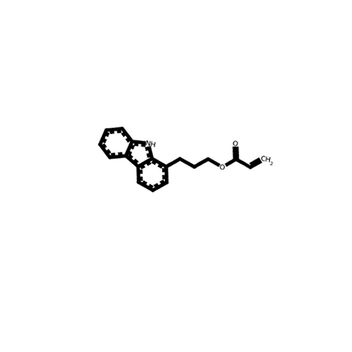 C=CC(=O)OCCCc1cccc2c1[nH]c1ccccc12